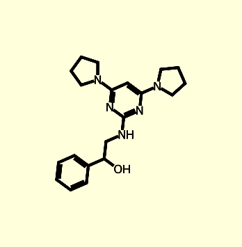 OC(CNc1nc(N2CCCC2)cc(N2CCCC2)n1)c1ccccc1